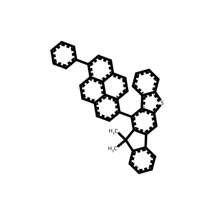 CC1(C)c2ccccc2-c2cc3sc4ccccc4c3c(-c3ccc4ccc5c(-c6ccccc6)ccc6ccc3c4c65)c21